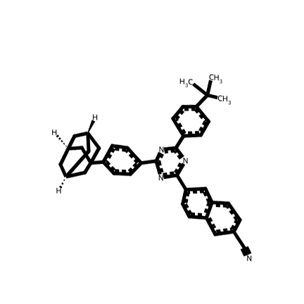 CC(C)(C)c1ccc(-c2nc(-c3ccc(C45C[C@H]6C[C@H](C4)C[C@@H](C5)C6)cc3)nc(-c3ccc4cc(C#N)ccc4c3)n2)cc1